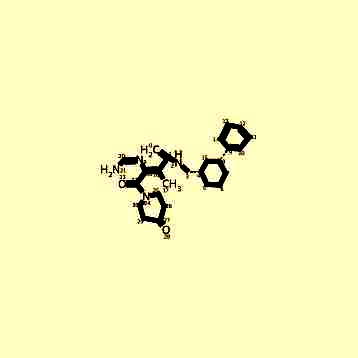 C=C(NC[C@H]1CCC[C@@H](c2ccccc2)C1)/C(C)=C(\N=C/N)C(=O)N1CCC(=O)CC1